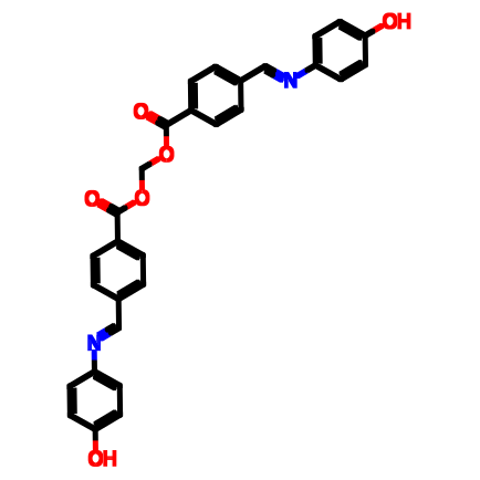 O=C(OCOC(=O)c1ccc(C=Nc2ccc(O)cc2)cc1)c1ccc(C=Nc2ccc(O)cc2)cc1